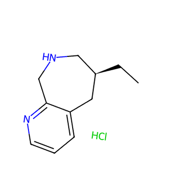 CC[C@@H]1CNCc2ncccc2C1.Cl